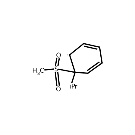 CC(C)C1(S(C)(=O)=O)[CH]C=CC=C1